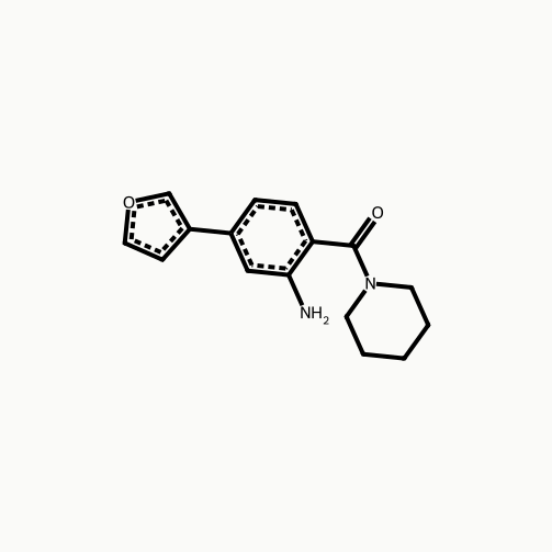 Nc1cc(-c2ccoc2)ccc1C(=O)N1CCCCC1